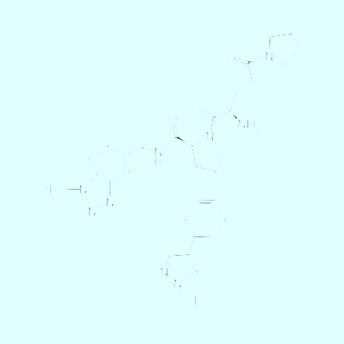 Cn1cc(-c2ccc(C[C@@H]3C[C@@H](C(=O)NCc4ccc5c(c4)nnn5C)N(C(=O)[C@H](N)CCC(=O)N4CCCC4)C3)cc2)cn1